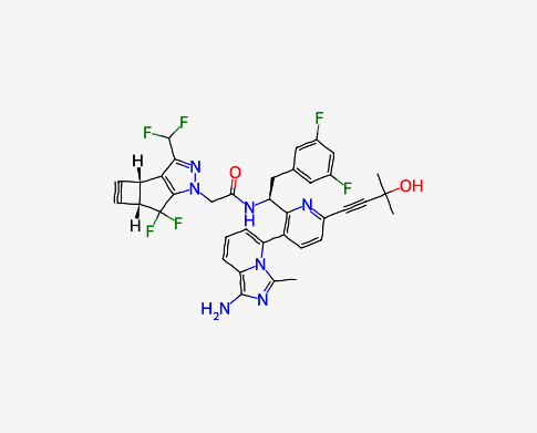 Cc1nc(N)c2cccc(-c3ccc(C#CC(C)(C)O)nc3[C@H](Cc3cc(F)cc(F)c3)NC(=O)Cn3nc(C(F)F)c4c3C(F)(F)[C@@H]3C#C[C@H]43)n12